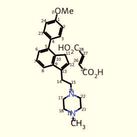 COc1ccc(-c2cccc3c2CC=C3CCN2CCN(C)CC2)cc1.O=C(O)C=CC(=O)O